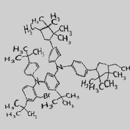 CCC1CC(c2ccc(N(c3ccc(C4CC(C)C(C)(C)C4(C)C)cc3)c3cc(N(c4ccc(C(C)(C)C)cc4)c4ccc(C(C)(C)C)cc4Br)cc(C(C)(C)C)c3)cc2)C(C)(C)C1(C)C